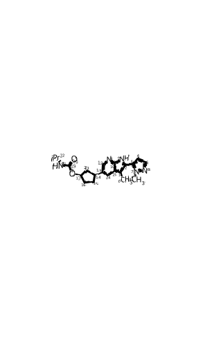 Cc1c(-c2ccnn2C)[nH]c2ncc([C@H]3CC[C@@H](OC(=O)NC(C)C)C3)cc12